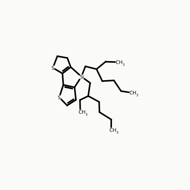 CCCCC(CC)C[Si]1(CC(CC)CCCC)C2=C(SCC2)c2sccc21